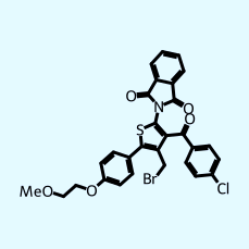 COCCOc1ccc(-c2sc(N3C(=O)c4ccccc4C3=O)c(C(=O)c3ccc(Cl)cc3)c2CBr)cc1